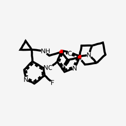 N#Cc1ccc(N2C3CCC2CN(C(=O)CCNC2(c4cncc(F)c4)CC2)C3)nc1